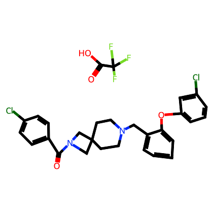 O=C(O)C(F)(F)F.O=C(c1ccc(Cl)cc1)N1CC2(CCN(Cc3ccccc3Oc3cccc(Cl)c3)CC2)C1